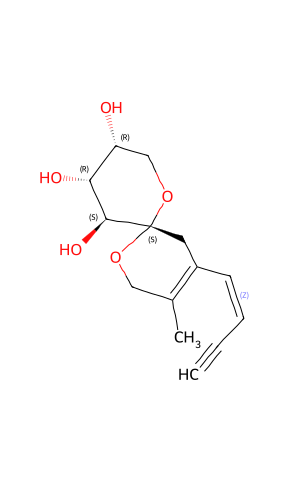 C#C/C=C\C1=C(C)CO[C@@]2(C1)OC[C@@H](O)[C@@H](O)[C@@H]2O